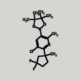 Cc1nc(C2(C)CCC(F)(F)C2)c(Cl)cc1B1OC(C)(C)C(C)(C)O1